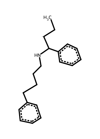 CC[CH]C(NCCCCc1ccccc1)c1ccccc1